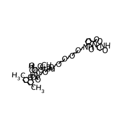 C[C@H]1C=C2C=C[C@H](C)[C@H](CC[C@@H]3C[C@@H](O[Si](C)(C)C(C)(C)C)CC(=O)O3)[C@H]2[C@@H](OC(=O)NCCOCCOCCOCCOCCOCCOCCNc2cccc3c2C(=O)N(C2CCC(=O)NC2=O)C3=O)C1